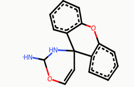 [NH]C1NC2(C=CO1)c1ccccc1Oc1ccccc12